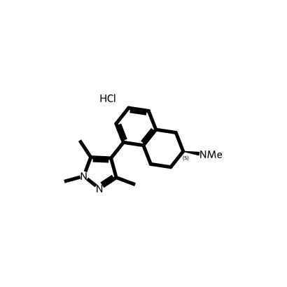 CN[C@H]1CCc2c(cccc2-c2c(C)nn(C)c2C)C1.Cl